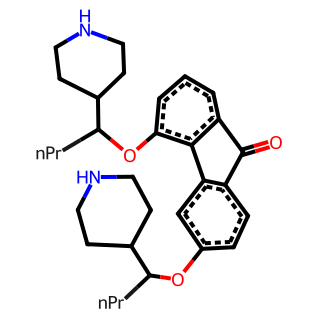 CCCC(Oc1ccc2c(c1)-c1c(OC(CCC)C3CCNCC3)cccc1C2=O)C1CCNCC1